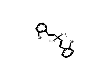 NC(N)(C=Cc1ccccc1O)C=Cc1ccccc1O